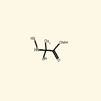 CCCC(C)(NS)C(=O)OC